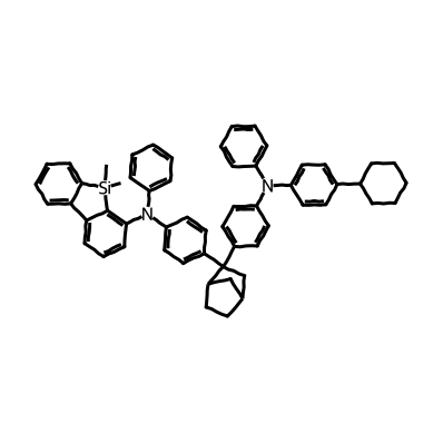 C[Si]1(C)c2ccccc2-c2cccc(N(c3ccccc3)c3ccc(C4(c5ccc(N(c6ccccc6)c6ccc(C7CCCCC7)cc6)cc5)CC5CCC4C5)cc3)c21